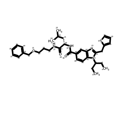 CCC(CC)n1c(Cc2cccs2)nc2cc(C(=O)N[C@@H](CC(C)C)C(=O)NCCCOCc3ccccc3)ccc21